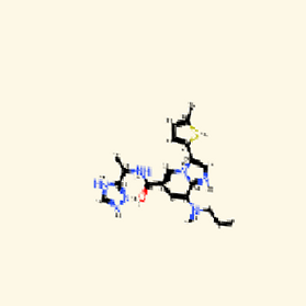 CCCN(C)c1cc(C(=O)NC(C)c2nnc[nH]2)cn2c(-c3ccc(C)s3)cnc12